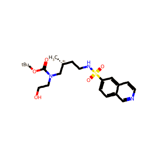 C[C@H](CCNS(=O)(=O)c1ccc2cnccc2c1)CN(CCO)C(=O)OC(C)(C)C